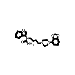 NC(=O)N(CCCCN1CCN(c2cccc3c2OCO3)CC1)c1coc2ccccc12